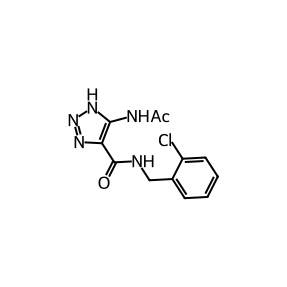 CC(=O)Nc1[nH]nnc1C(=O)NCc1ccccc1Cl